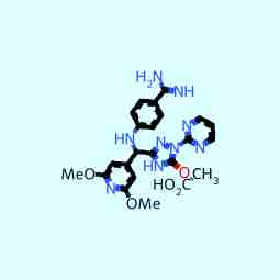 CC(=O)O.COc1cc(C(Nc2ccc(C(=N)N)cc2)c2nn(-c3ncccn3)c(=O)[nH]2)cc(OC)n1